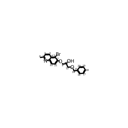 Cc1ccc2c(Br)c(OC[C@H](O)COCc3ccccc3)ccc2n1